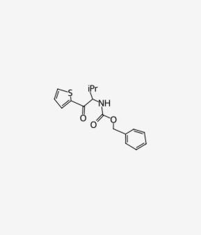 CC(C)C(NC(=O)OCc1ccccc1)C(=O)c1cccs1